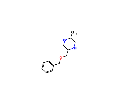 CC1CNC(COCc2ccccc2)CN1